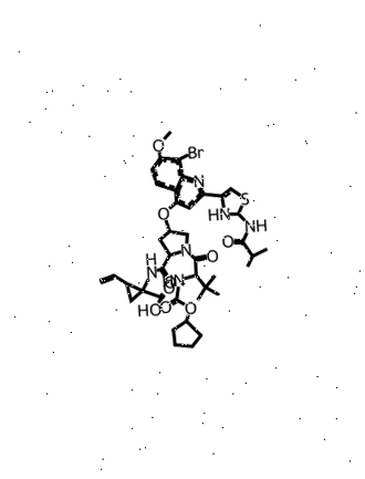 C=CC1CC1(NC(=O)C1CC(Oc2cc(C3=CSC(NC(=O)C(C)C)N3)nc3c(Br)c(OC)ccc23)CN1C(=O)C(NC(=O)OC1CCCC1)C(C)(C)C)C(=O)O